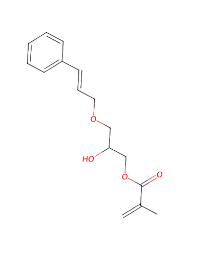 C=C(C)C(=O)OCC(O)COCC=Cc1ccccc1